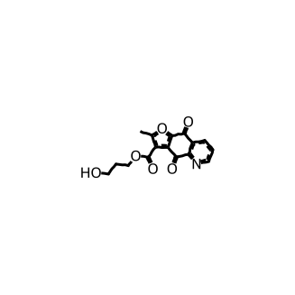 Cc1oc2c(c1C(=O)OCCCO)C(=O)c1ncccc1C2=O